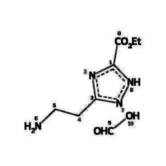 CCOC(=O)c1nc(CCN)n[nH]1.O=CO